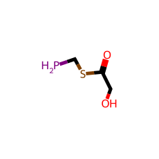 O=C(CO)SCP